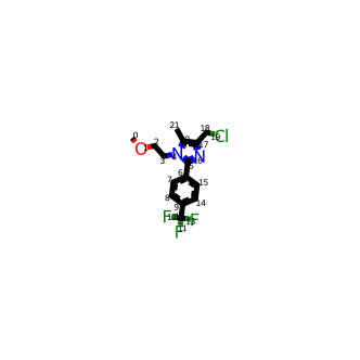 COCCn1c(-c2ccc(C(F)(F)F)cc2)nc(CCl)c1C